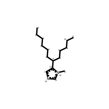 CCCCCCC(CCCCC)c1cncn1C